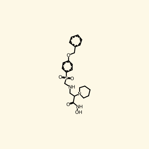 O=C(NO)C(CNCS(=O)(=O)c1ccc(OCc2ccccc2)cc1)N1CCCCC1